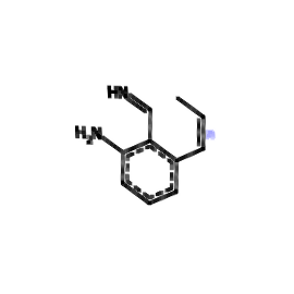 C/C=C\c1cccc(N)c1C=N